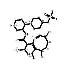 CC/C1=C(C(C(=O)NC2CNCCC2N2CCC(CS(C)(=O)=O)CC2)C(N)N)/N=C\C(F)CCC1C